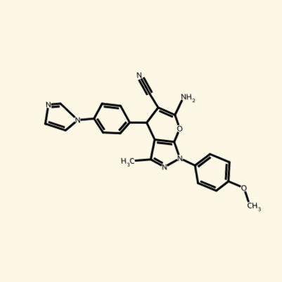 COc1ccc(-n2nc(C)c3c2OC(N)=C(C#N)C3c2ccc(-n3ccnc3)cc2)cc1